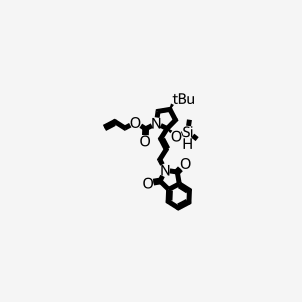 C=CCOC(=O)N1C[C@@H](C(C)(C)C)C[C@@]1(/C=C/CN1C(=O)c2ccccc2C1=O)O[SiH](C)C